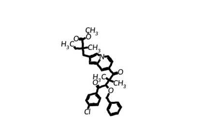 CCC(C)(Cc1cc2cc(C(=O)C(C)(C)C(OCc3ccccc3)C(=O)c3ccc(Cl)cc3)ccn2c1)C(=O)OC